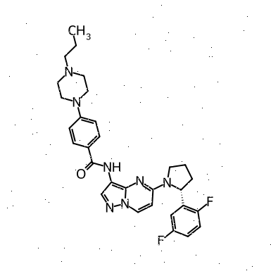 CCCN1CCN(c2ccc(C(=O)Nc3cnn4ccc(N5CCC[C@@H]5c5cc(F)ccc5F)nc34)cc2)CC1